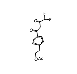 CC(=O)OCCc1ccc(C(=O)CC(=O)C(F)F)cc1